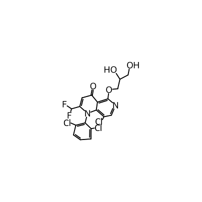 O=c1cc(C(F)F)n(-c2c(Cl)cccc2Cl)c2c(Cl)cnc(OCC(O)CO)c12